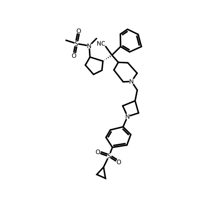 CN(C1CCC[C@H]1C(C#N)(c1ccccc1)C1CCN(CC2CN(c3ccc(S(=O)(=O)C4CC4)cc3)C2)CC1)S(C)(=O)=O